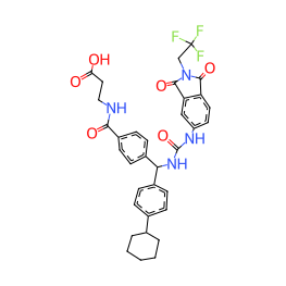 O=C(O)CCNC(=O)c1ccc(C(NC(=O)Nc2ccc3c(c2)C(=O)N(CC(F)(F)F)C3=O)c2ccc(C3CCCCC3)cc2)cc1